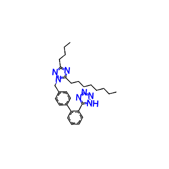 CCCCCCCCc1nc(CCCC)nn1Cc1ccc(-c2ccccc2-c2nnn[nH]2)cc1